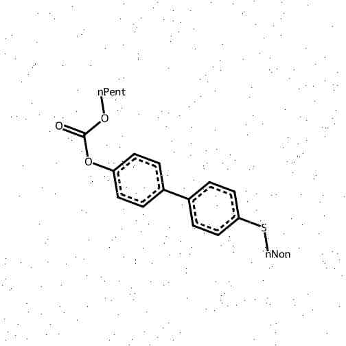 CCCCCCCCCSc1ccc(-c2ccc(OC(=O)OCCCCC)cc2)cc1